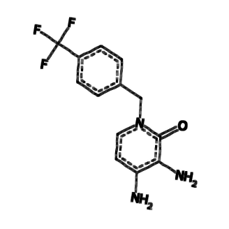 Nc1ccn(Cc2ccc(C(F)(F)F)cc2)c(=O)c1N